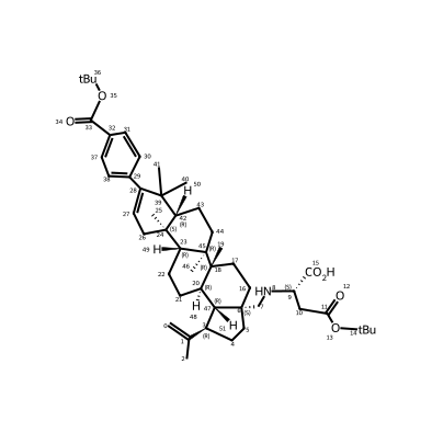 C=C(C)[C@@H]1CC[C@]2(CN[C@@H](CC(=O)OC(C)(C)C)C(=O)O)CC[C@]3(C)[C@H](CC[C@@H]4[C@@]5(C)CC=C(c6ccc(C(=O)OC(C)(C)C)cc6)C(C)(C)[C@@H]5CC[C@]43C)[C@@H]12